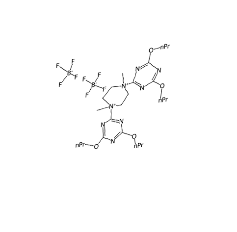 CCCOc1nc(OCCC)nc([N+]2(C)CC[N+](C)(c3nc(OCCC)nc(OCCC)n3)CC2)n1.F[B-](F)(F)F.F[B-](F)(F)F